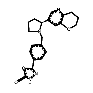 O=c1[nH]nc(-c2ccc(CN3CCC[C@H]3c3cnc4c(c3)OCCC4)cc2)o1